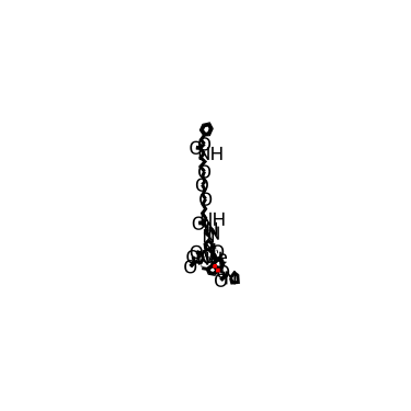 COC(=O)[C@@H](Cc1ccc(OC(=O)N2CCCC2)cc1)NC(=O)[C@@H]1C[C@@H](n2cc(C(=O)NCCCOCCOCCOCCCNC(=O)OCc3ccccc3)nn2)CN1S(=O)(=O)c1ccccc1